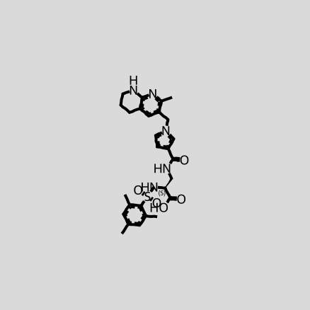 Cc1cc(C)c(S(=O)(=O)N[C@@H](CNC(=O)c2ccn(Cc3cc4c(nc3C)NCCC4)c2)C(=O)O)c(C)c1